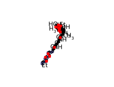 CC/C=C\C/C=C\C/C=C\C/C=C\C/C=C\C/C=C\CCC(=O)NCCOCCNC(=O)CC[C@@H](C)C1CC[C@H]2[C@@H]3[C@H](O)[C@H](CC)[C@@H]4C[C@H](O)CC[C@]4(C)[C@H]3CC[C@]12C